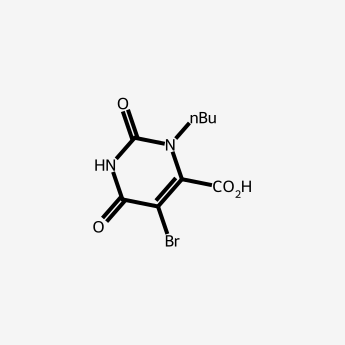 CCCCn1c(C(=O)O)c(Br)c(=O)[nH]c1=O